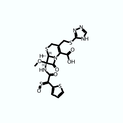 CO[C@@]1(NC(=O)C(=S=O)c2cccs2)C(=O)N2C(C(=O)O)=C(CSc3nnc[nH]3)CS[C@@H]21